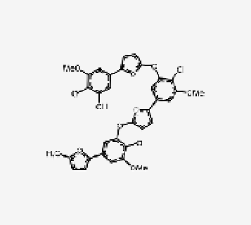 COc1cc(-c2ccc(Oc3cc(-c4ccc(Oc5cc(-c6ccc(C)o6)cc(OC)c5Cl)o4)cc(OC)c3Cl)o2)cc(O)c1Cl